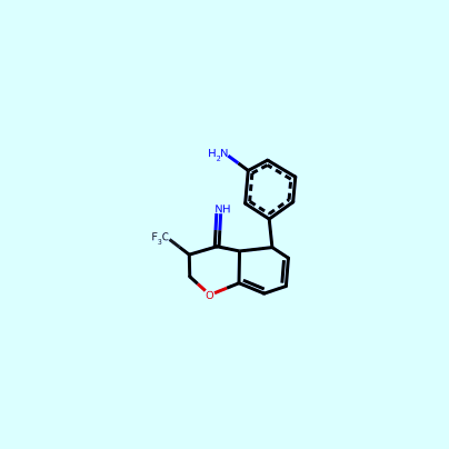 N=C1C2C(=CC=CC2c2cccc(N)c2)OCC1C(F)(F)F